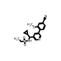 CCS(=O)(=O)NC(c1cncc(-c2ccc(C#N)cc2OC)c1)C1CC1